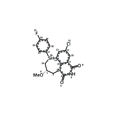 CO[C@H]1Cn2c(=O)[nH]c(=O)c3cc(Cl)cc(c32)[SH](c2ccc(F)cc2)C1